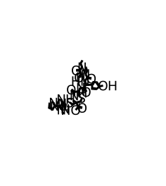 CCN1CCN(C(=O)NC(C(=O)NC2C(=O)N3CC(CSc4nnc(-n5cccn5)n4N)(C(=O)O)CS[C@H]23)c2ccc(O)cc2)C(=O)C1=O